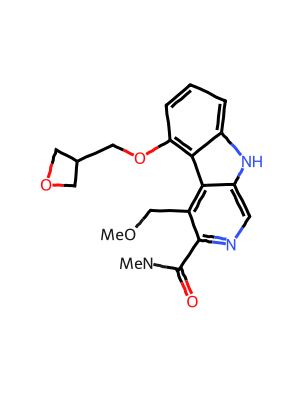 CNC(=O)c1ncc2[nH]c3cccc(OCC4COC4)c3c2c1COC